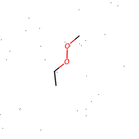 CCOOC